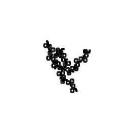 CCC(=O)OCC(=O)OCC(=O)OCC(=O)OC(C)C(=O)OCC(COC(=O)C(C)OC(=O)COC(=O)COC(=O)CC)(COC(=O)C(C)OC(=O)COC(=O)COC(=O)CC)COC(=O)C(C)OC(=O)COC(=O)COC(=O)COC(=O)CC